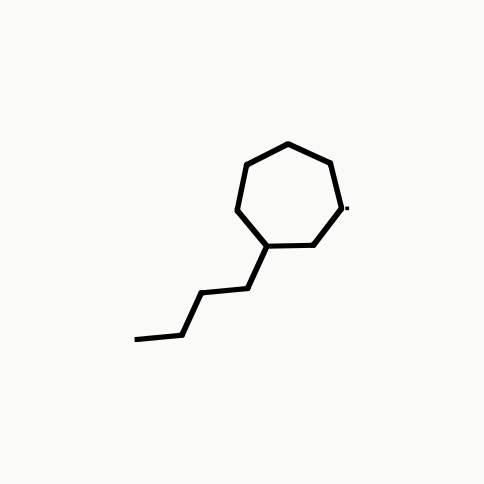 CCCCC1C[CH]CCCC1